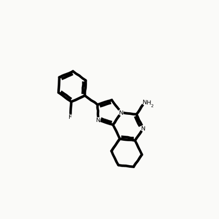 Nc1nc2c(c3nc(-c4ccccc4F)cn13)CCCC2